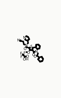 COc1c(C(=O)N(CCC#N)Cc2cccnc2)sc2c1c(=O)n(CC(=O)c1ccccc1)c1ccccc21.O=C(O)C(F)(F)F